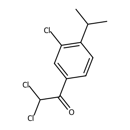 CC(C)c1ccc(C(=O)C(Cl)Cl)cc1Cl